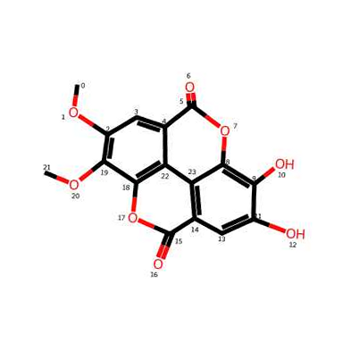 COc1cc2c(=O)oc3c(O)c(O)cc4c(=O)oc(c1OC)c2c34